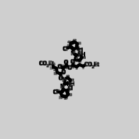 CCOC(=O)CCCC(OC(=O)C(=O)OC(CCCC(=O)OCC)ON1CCNC1=Nc1c(Cl)cccc1Cl)ON1CCNC1=Nc1c(Cl)cccc1Cl